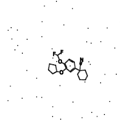 N#CC1(c2ccc(OC(F)F)c(OC3CCCC3)c2)CCCCC1